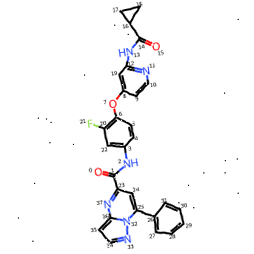 O=C(Nc1ccc(Oc2ccnc(NC(=O)C3CC3)c2)c(F)c1)c1cc(-c2ccccc2)n2nccc2n1